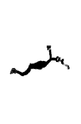 CC(F)/C=C/CBr